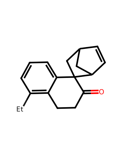 CCc1cccc2c1CCC(=O)C21CC2C=CC1C2